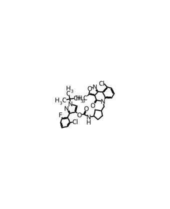 Cc1onc2c1c(=O)n(CC1CCC(NC(=O)Oc3cn(C(C)(C)C)nc3-c3c(F)cccc3Cl)C1)c1cccc(Cl)c21